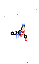 COc1ccc(COC(=O)C2=C(/C=C/c3cncs3)CS[C@@H]3[C@H](NC(=O)Cc4ccccc4)C(=O)N23)cc1